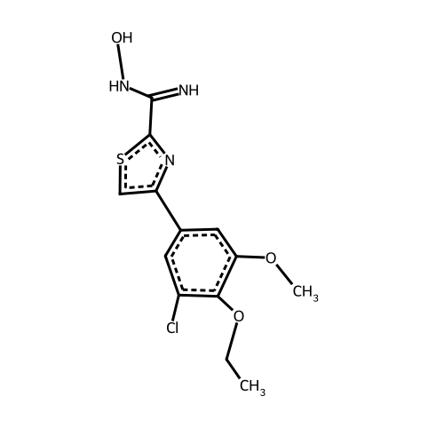 CCOc1c(Cl)cc(-c2csc(C(=N)NO)n2)cc1OC